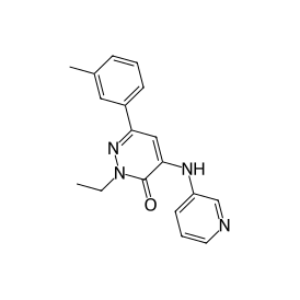 CCn1nc(-c2cccc(C)c2)cc(Nc2cccnc2)c1=O